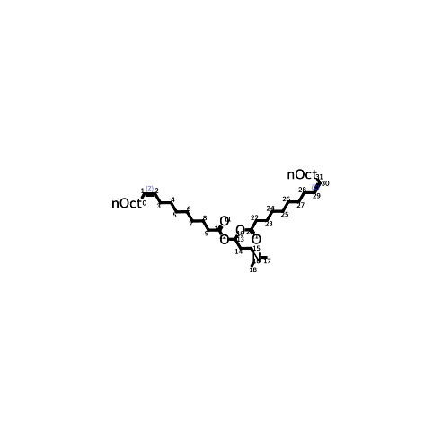 CCCCCCCC/C=C\CCCCCCCC(=O)OC(CCN(C)C)OC(=O)CCCCCCC/C=C\CCCCCCCC